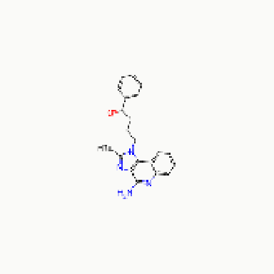 CCCCc1nc2c(N)nc3ccccc3c2n1CCCC(=O)c1ccccc1